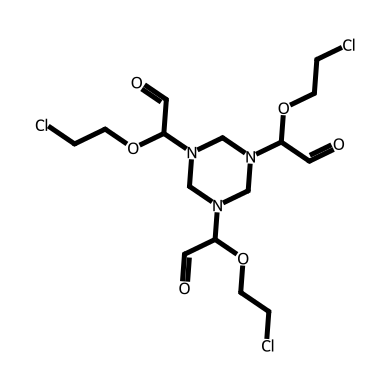 O=CC(OCCCl)N1CN(C(C=O)OCCCl)CN(C(C=O)OCCCl)C1